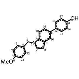 COc1ccc(Cn2ccc3cc(-c4ccc(O)cc4)ccc32)cc1